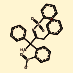 NC(C(Cc1ccccc1)=NS(=O)(=O)c1ccccc1)(c1ccccc1)c1ccccc1[N+](=O)[O-]